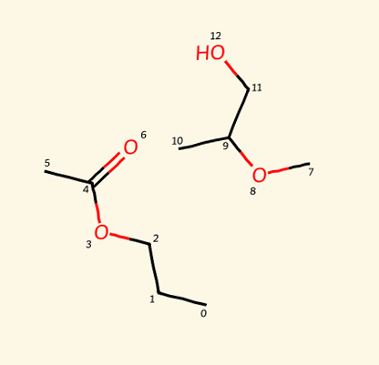 CCCOC(C)=O.COC(C)CO